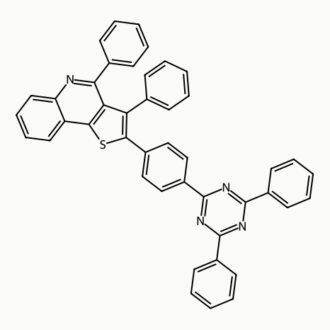 c1ccc(-c2nc(-c3ccccc3)nc(-c3ccc(-c4sc5c(c(-c6ccccc6)nc6ccccc65)c4-c4ccccc4)cc3)n2)cc1